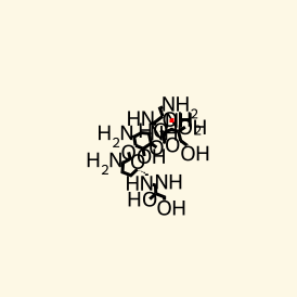 N=C(NC[C@@H]1CCC(N)C(OC2C(O)C(O[C@H]3OC(CO)C(O)[C@H](N)C3O)[C@H](NC(=N)C(O)CN)C[C@@H]2N)O1)C(O)CO